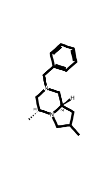 CC1C[C@H]2CN(Cc3ccccc3)C[C@@H](C)N2C1